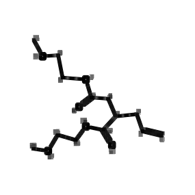 C=CCC(CC(=O)OCCOC)C(=O)OCCOC